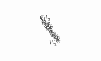 C=CC1CCC(COc2ccc(OCC3CCC(C4CCC(C=C)CC4)CC3)c(F)c2F)CC1